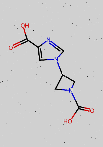 O=C(O)c1cn(C2CN(C(=O)O)C2)cn1